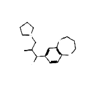 CC(CN1CCCC1)C(O)c1ccc2c(c1)OCCCO2